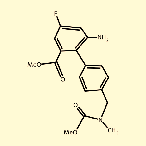 COC(=O)c1cc(F)cc(N)c1-c1ccc(CN(C)C(=O)OC)cc1